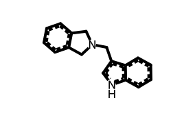 c1ccc2c(c1)CN(Cc1c[nH]c3ccccc13)C2